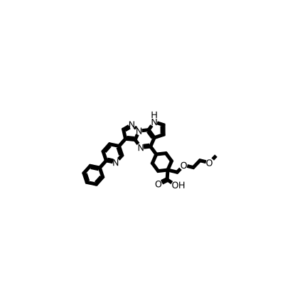 COCCOCC1(C(=O)O)CCC(c2nc3c(-c4ccc(-c5ccccc5)nc4)cnn3c3[nH]ccc23)CC1